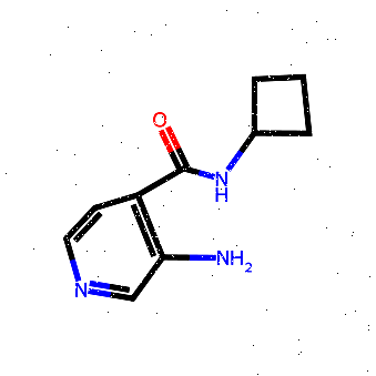 Nc1cnccc1C(=O)NC1CCC1